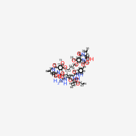 C=CCOC(=O)N1c2cc(OCCCCCOc3cc4c(cc3OC)C(=O)N3CC(=C)C[C@H]3[C@H](O)N4C(=O)OCc3ccc(NC(=O)[C@H](CCCNC(N)=O)NC(=O)C4(C(=O)OCC=C)CCC4)cc3)c(OC)cc2C(=O)N2CC(=C)C[C@H]2[C@@H]1O